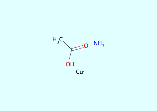 CC(=O)O.N.[Cu]